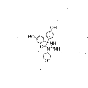 N=C1NC(c2ccc(O)cc2)(c2ccc(O)cc2)C(=O)N1C1CCOCC1